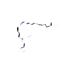 CC/C=C\C[C@H](O)/C=C/C=C\C\C=C/C=C/C=C/C1OC1CCC(=O)O